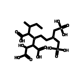 CCC(C)C(C(=O)O)N(CCN(CP(=O)(O)O)CP(=O)(O)O)C(C(=O)O)C(O)C(=O)O